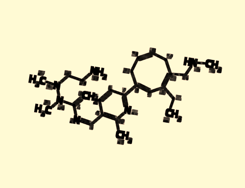 C=C(/N=C\c1ccc(/C2=C/C(CC)=C(/CNC)CC=CC2)nc1C)N(C)N(C)CCN